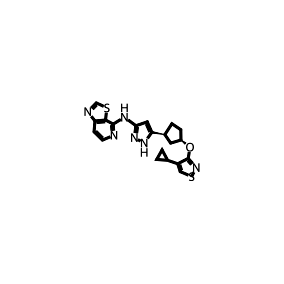 c1cc2ncsc2c(Nc2cc([C@H]3CC[C@@H](Oc4nscc4C4CC4)C3)[nH]n2)n1